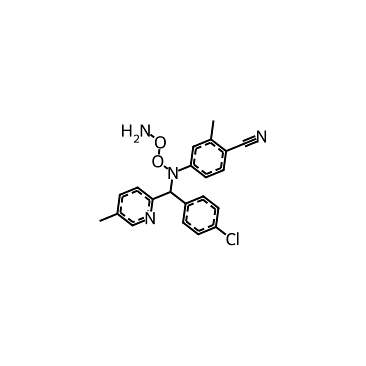 Cc1ccc(C(c2ccc(Cl)cc2)N(OON)c2ccc(C#N)c(C)c2)nc1